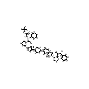 C[C@@H](C(=O)N1CCC[C@H]1c1nc2ccc(-c3ccc(-c4cnc([C@@H]5CCCN5C(=O)[C@H](NC(=O)OC(C)(C)C)c5ccccc5)[nH]4)cc3)cc2[nH]1)c1ccccc1